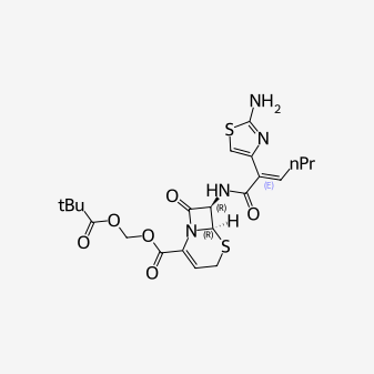 CCC/C=C(/C(=O)N[C@@H]1C(=O)N2C(C(=O)OCOC(=O)C(C)(C)C)=CCS[C@H]12)c1csc(N)n1